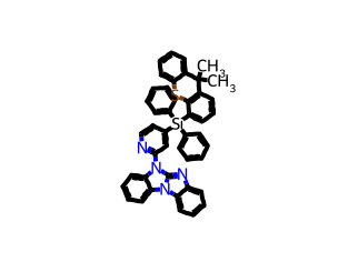 CC1(C)c2ccccc2Sc2c1cccc2[Si](c1ccccc1)(c1ccccc1)c1ccnc(-n2c3ccccc3n3c4ccccc4nc23)c1